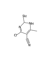 CC1=C(C#N)C(Cl)=NC(S)N1